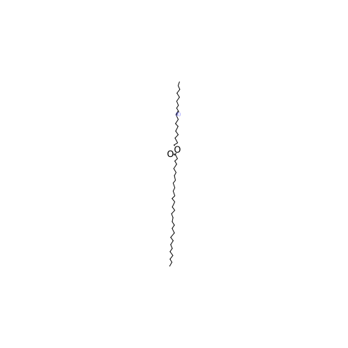 CCCCCCCC/C=C/CCCCCCCCOC(=O)CCCCCCCCCCCCCCCCCCCCCCCCCCCCCC